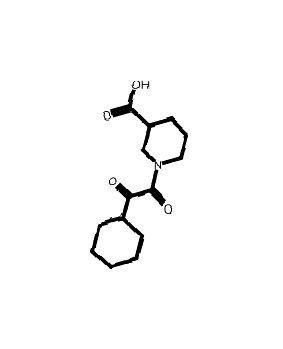 O=C(O)C1CCCN(C(=O)C(=O)C2CCCCC2)C1